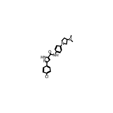 CN(C)C1CCN(c2ccc(NC(=O)c3cc(-c4ccc(Cl)cc4)n[nH]3)cc2)C1